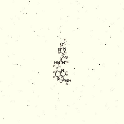 CCOc1ncc(-c2cc(NC[C@@H](C)c3ccc(F)c4c(C(=O)NC)ccnc34)ncn2)cn1